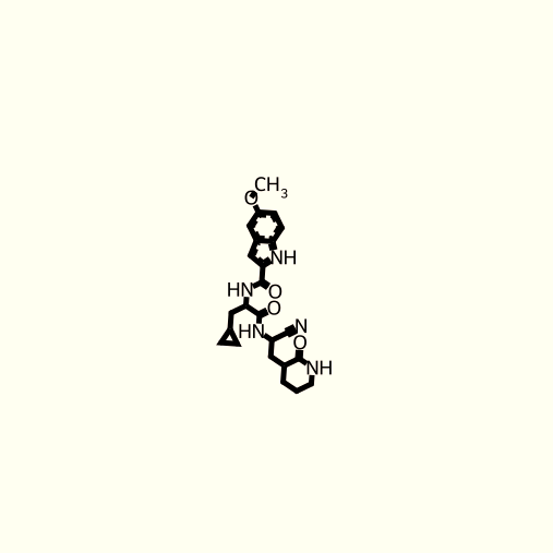 COc1ccc2[nH]c(C(=O)NC(CC3CC3)C(=O)NC(C#N)CC3CCCNC3=O)cc2c1